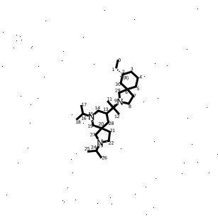 CC[C@@H]1CCCC2(CCN(C(C)(C)C3CN(C(C)C)CC4(CCN(C(C)C)C4)C3)C2)C1